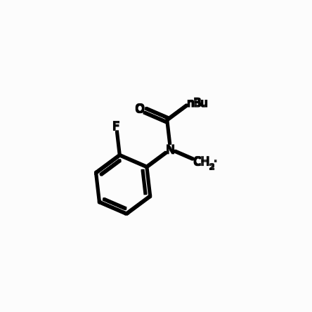 [CH2]N(C(=O)CCCC)c1ccccc1F